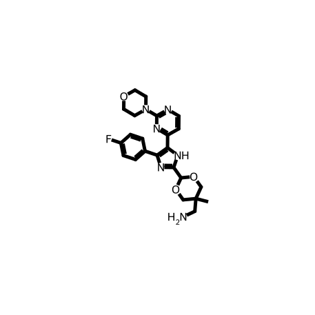 CC1(CN)COC(c2nc(-c3ccc(F)cc3)c(-c3ccnc(N4CCOCC4)n3)[nH]2)OC1